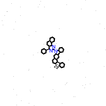 C[Si]1(C)c2ccccc2-c2c1ccc1cc3c(cc21)c1ccccc1n3-c1nc(-c2ccccc2)c2ccc3ccccc3c2n1